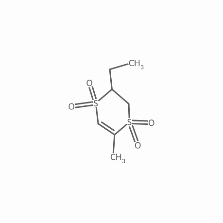 CCC1CS(=O)(=O)C(C)=CS1(=O)=O